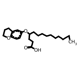 CCCCCCCCCCC(CCC(=O)O)Oc1ccc2c(c1)CCCO2